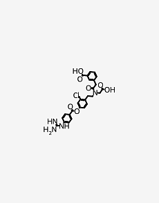 N=C(N)Nc1ccc(C(=O)Oc2ccc(CCN(CC(=O)O)C(=O)Cc3cccc(C(=O)O)c3)c(Cl)c2)cc1